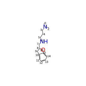 CN(C)CCCNCC1Cc2ccccc2O1